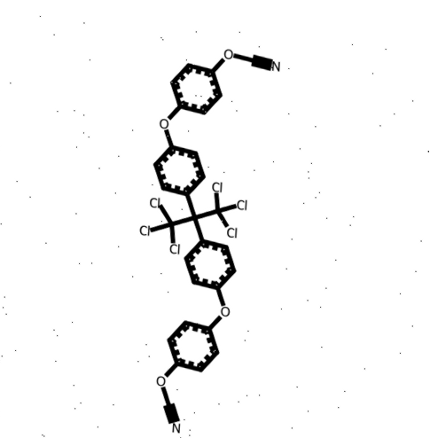 N#COc1ccc(Oc2ccc(C(c3ccc(Oc4ccc(OC#N)cc4)cc3)(C(Cl)(Cl)Cl)C(Cl)(Cl)Cl)cc2)cc1